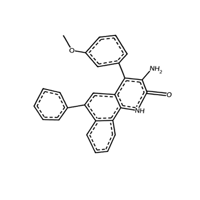 COc1cccc(-c2c(N)c(=O)[nH]c3c2cc(-c2ccccc2)c2ccccc23)c1